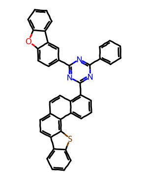 c1ccc(-c2nc(-c3ccc4oc5ccccc5c4c3)nc(-c3cccc4c3ccc3ccc5c6ccccc6sc5c34)n2)cc1